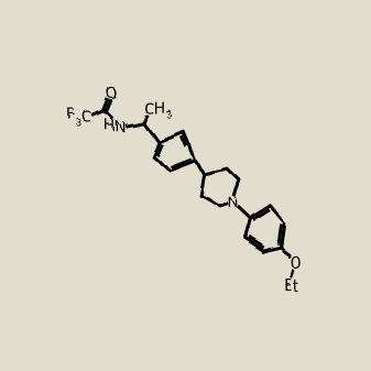 CCOc1ccc(N2CCC(c3ccc(C(C)NC(=O)C(F)(F)F)cc3)CC2)cc1